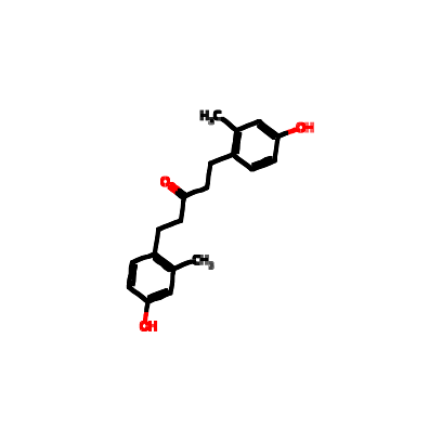 Cc1cc(O)ccc1CCC(=O)CCc1ccc(O)cc1C